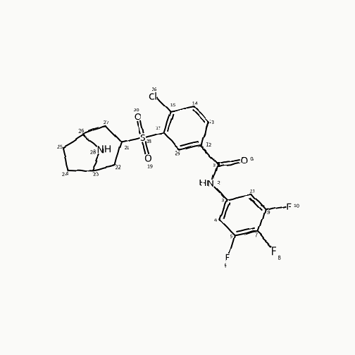 O=C(Nc1cc(F)c(F)c(F)c1)c1ccc(Cl)c(S(=O)(=O)C2CC3CCC(C2)N3)c1